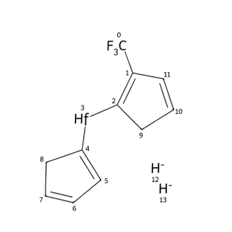 FC(F)(F)C1=[C]([Hf][C]2=CC=CC2)CC=C1.[H-].[H-]